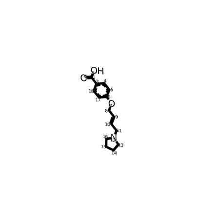 O=C(O)c1ccc(OCC=CCN2CCCC2)cc1